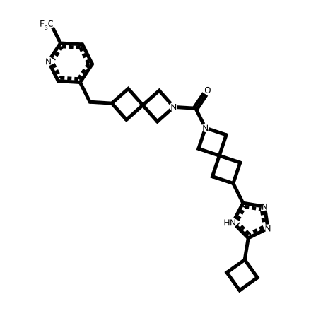 O=C(N1CC2(CC(Cc3ccc(C(F)(F)F)nc3)C2)C1)N1CC2(CC(c3nnc(C4CCC4)[nH]3)C2)C1